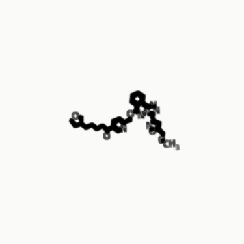 COCc1cc(-c2nnc3c4ccccc4c(OCc4ccc(C(=O)CCCCC5CCOC5)cn4)nn23)no1